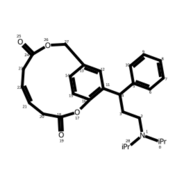 CC(C)N(CCC(c1ccccc1)c1cc2ccc1OC(=O)CC=CCC(=O)OC2)C(C)C